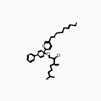 CCCCCCCCCc1ccc(C2(OCC(Cl)C(C)CCCC(C)C)C=CC(c3ccccc3)C=C2)nc1